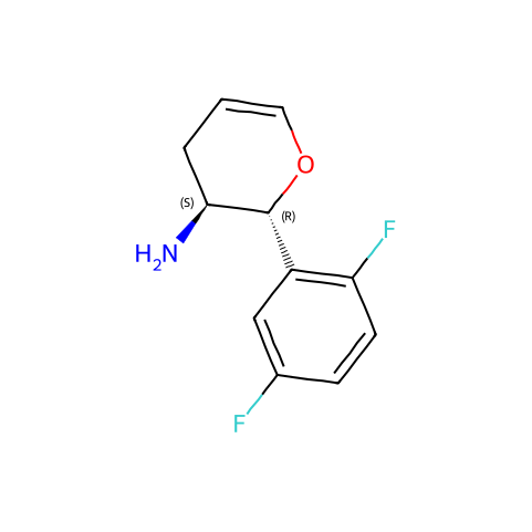 N[C@H]1CC=CO[C@@H]1c1cc(F)ccc1F